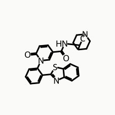 O=C(NC1CN2CCC1CC2)c1ccc(=O)n(-c2ccccc2-c2nc3ccccc3s2)c1